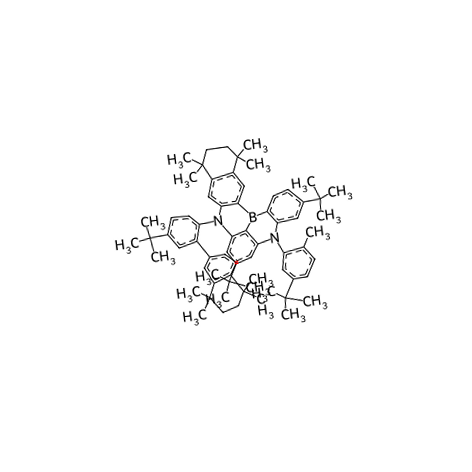 Cc1ccc(C(C)(C)C)cc1N1c2cc(C(C)(C)C)ccc2B2c3cc4c(cc3N(c3ccc(C(C)(C)C)cc3-c3ccc5c(c3)C(C)(C)CCC5(C)C)c3cc(C(C)(C)C)cc1c32)C(C)(C)CCC4(C)C